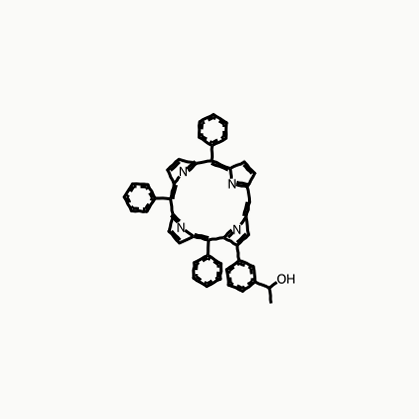 CC(O)c1cccc(C2=CC3=CC4=NC(=C(c5ccccc5)C5=NC(=C(c6ccccc6)C6=NC(=C(c7ccccc7)C2=N3)C=C6)C=C5)C=C4)c1